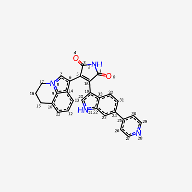 O=C1NC(=O)C(c2cn3c4c(cccc24)CCC3)=C1c1c[nH]c2cc(-c3ccncc3)ccc12